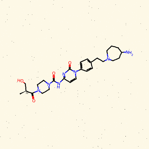 C[C@@H](CO)C(=O)N1CCN(C(=O)Nc2ccn(-c3ccc(CCN4CCCC(N)CC4)cc3)c(=O)n2)CC1